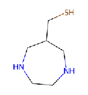 SCC1CNCCNC1